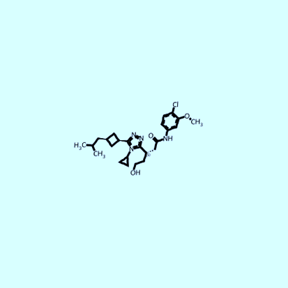 COc1cc(NC(=O)C[C@H](CCO)c2nnc([C@H]3C[C@@H](CC(C)C)C3)n2C2CC2)ccc1Cl